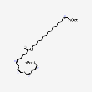 CCCCC/C=C\C/C=C\C/C=C\C/C=C\CCCC(=O)OCCCCCCCCCCCC/C=C\CCCCCCCC